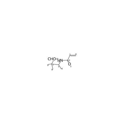 C=CC(=O)NC(C)C(C)(C)C=O